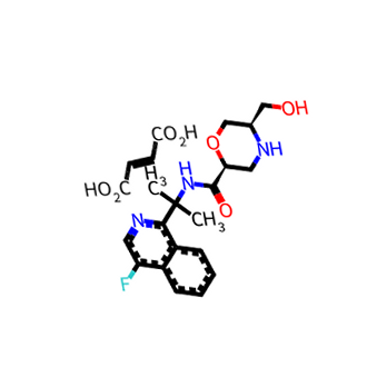 CC(C)(NC(=O)[C@@H]1CN[C@H](CO)CO1)c1ncc(F)c2ccccc12.O=C(O)/C=C/C(=O)O